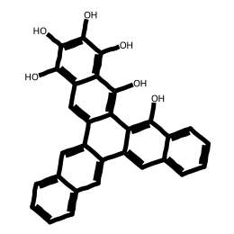 Oc1c(O)c(O)c2c(O)c3c(cc2c1O)c1cc2ccccc2cc1c1cc2ccccc2c(O)c13